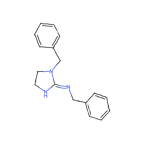 c1ccc(CN=C2NCCN2Cc2ccccc2)cc1